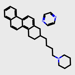 c1ccc2c(c1)ccc1c3c(ccc12)CC(CCCCN1CCCCC1)CC3.c1cnccn1